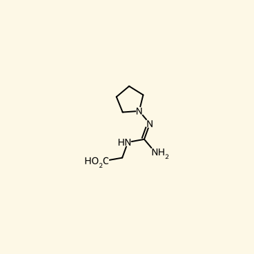 NC(=NN1CCCC1)NCC(=O)O